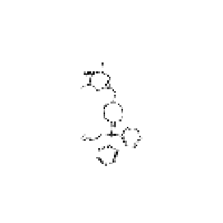 CC1CN(CC2CCN(C(CC=O)(c3ccccc3)c3ccccc3)CC2)CC(C)N1